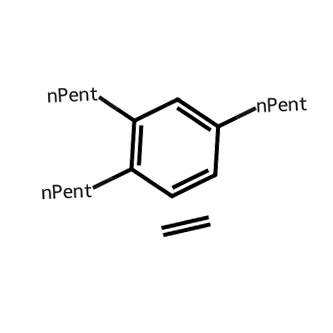 C=C.CCCCCc1ccc(CCCCC)c(CCCCC)c1